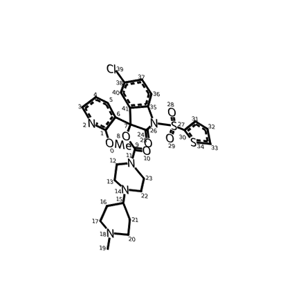 COc1ncccc1C1(OC(=O)N2CCN(C3CCN(C)CC3)CC2)C(=O)N(S(=O)(=O)c2cccs2)c2ccc(Cl)cc21